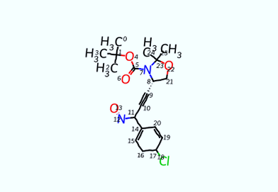 CC(C)(C)OC(=O)N1[C@@H](C#CC(N=O)C2=CCC(Cl)C=C2)COC1(C)C